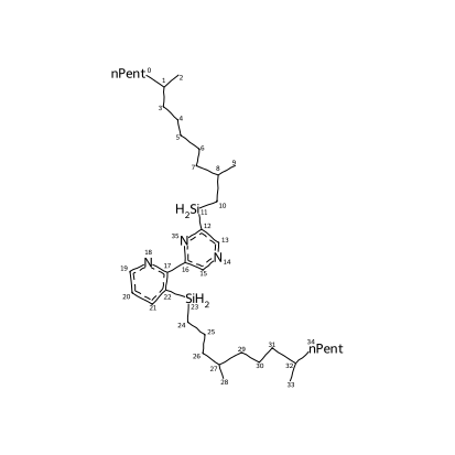 CCCCCC(C)CCCCCC(C)C[SiH2]c1cncc(-c2ncccc2[SiH2]CCCC(C)CCCC(C)CCCCC)n1